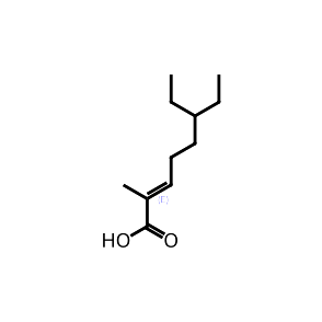 CCC(CC)CC/C=C(\C)C(=O)O